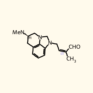 CN[C@@H]1Cc2cccc3c2N(C1)CN3C/C=C(/C)C=O